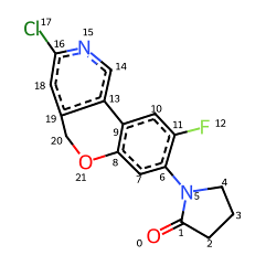 O=C1CCCN1c1cc2c(cc1F)-c1cnc(Cl)cc1CO2